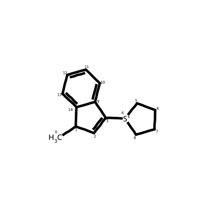 CC1C=C([S+]2CCCC2)c2ccccc21